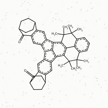 CC1(C)c2cccc3c2-c2c(c4c5cc6c(cc5n5c7cc8c(cc7c(c2C(C)(C)C3(C)C)c45)C2CCC(CC2)C8=O)C(=O)C2CCC6CC2)C1(C)C